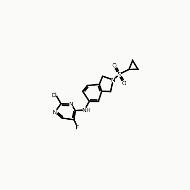 O=S(=O)(C1CC1)N1Cc2ccc(Nc3nc(Cl)ncc3F)cc2C1